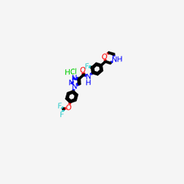 Cl.O=C(Nc1ccc(C2CNCCO2)cc1F)c1cn(-c2ccc(OC(F)F)cc2)nn1